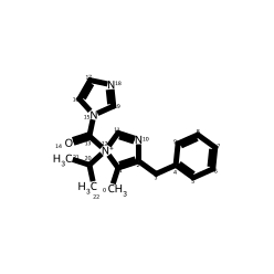 CC1=C(Cc2ccccc2)N=C[N+]1(C(=O)n1ccnc1)C(C)C